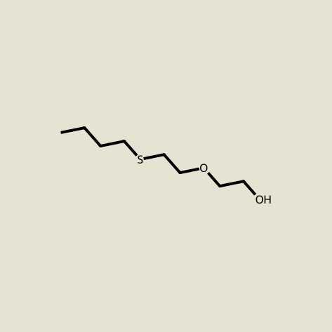 CCCCSCCOCCO